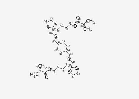 C=C(C)C(=O)OCCCCC1(CSCC2CCC(CSCC3(CCCCOC(=O)C(=C)C)SCCS3)CC2)SCCS1